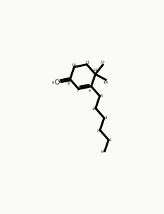 CCCCCCC1=CC(=O)CCC1(C)C